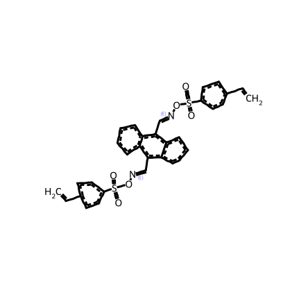 C=Cc1ccc(S(=O)(=O)O/N=C/c2c3ccccc3c(/C=N/OS(=O)(=O)c3ccc(C=C)cc3)c3ccccc23)cc1